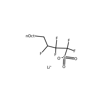 CCCCCCCCCC(F)C(F)(F)C(F)(F)S(=O)(=O)[O-].[Li+]